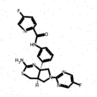 NC1=N[C@@]2(c3cccc(NC(=O)c4ccc(F)cn4)c3)CN(c3ncc(F)cn3)C[C@H]2CS1